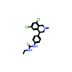 CCNC(=S)Nc1ccc(C2CN(C)Cc3c(Cl)cc(Cl)cc32)cc1